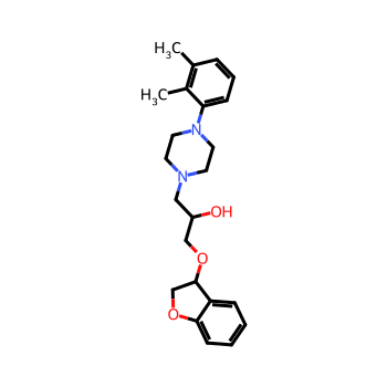 Cc1cccc(N2CCN(CC(O)COC3COc4ccccc43)CC2)c1C